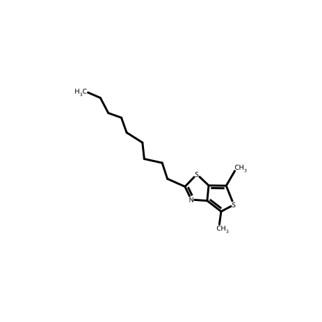 CCCCCCCCCc1nc2c(C)sc(C)c2s1